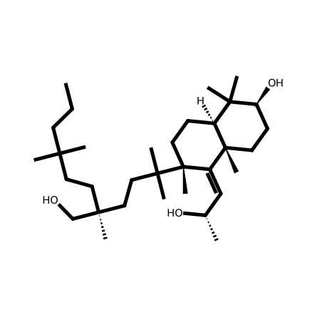 CCCC(C)(C)CC[C@](C)(CO)CCC(C)(C)[C@]1(C)CC[C@H]2C(C)(C)[C@@H](O)CC[C@]2(C)/C1=C/[C@H](C)O